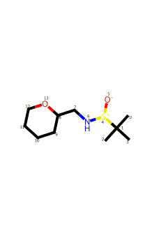 CC(C)(C)[S+]([O-])NCC1CCCCO1